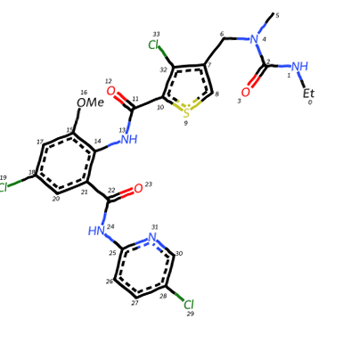 CCNC(=O)N(C)Cc1csc(C(=O)Nc2c(OC)cc(Cl)cc2C(=O)Nc2ccc(Cl)cn2)c1Cl